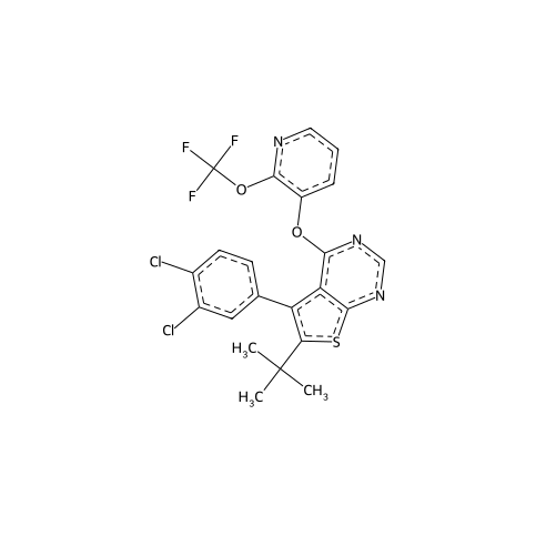 CC(C)(C)c1sc2ncnc(Oc3cccnc3OC(F)(F)F)c2c1-c1ccc(Cl)c(Cl)c1